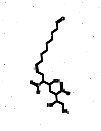 CCC(O)C(CC(O)C(C/C=C\CCCCCCC[C]=O)[N+](=O)[O-])[N+](=O)[O-]